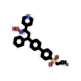 CCS(=O)(=O)c1ccc(-c2ccc(C(C/C(=N/O)c3ccncc3)c3ccccc3)cc2)cc1